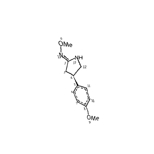 CO/N=C1/C[C@H](c2ccc(OC)cc2)CN1